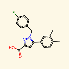 Cc1ccc(-c2cc(C(=O)O)nn2Cc2ccc(F)cc2)cc1C